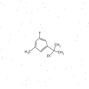 CCC(C)(C)c1cc(C)cc(F)c1